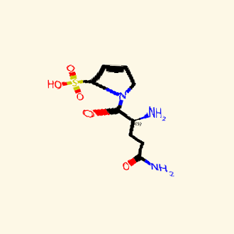 NC(=O)CC[C@H](N)C(=O)N1CC=CC1S(=O)(=O)O